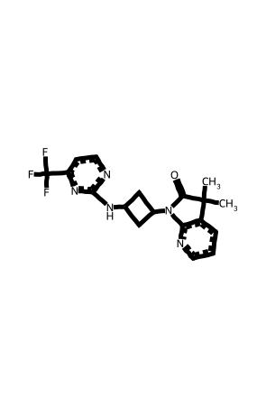 CC1(C)C(=O)N(C2CC(Nc3nccc(C(F)(F)F)n3)C2)c2ncccc21